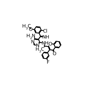 COc1ccc(Cl)c(C(=N)c2c(N)ncnc2NC(C)c2oc3ccccc3c(=O)c2-c2cccc(F)c2)c1